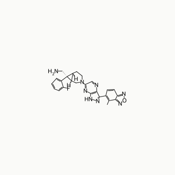 Cc1c(-c2n[nH]c3nc(N4CC[C@@H]5[C@H](C4)[C@@]5(CN)c4ccccc4F)cnc23)ccc2nonc12